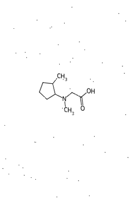 CC1CCCC1N(C)CC(=O)O